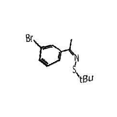 C/C(=N/SC(C)(C)C)c1cccc(Br)c1